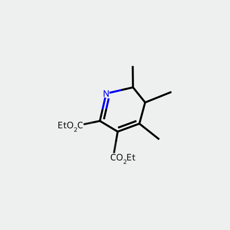 CCOC(=O)C1=NC(C)C(C)C(C)=C1C(=O)OCC